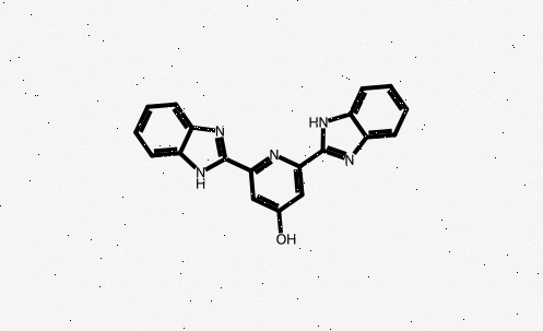 Oc1cc(-c2nc3ccccc3[nH]2)nc(-c2nc3ccccc3[nH]2)c1